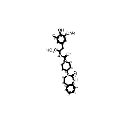 COc1cc(CC(OC(=O)N2CCC(N3CCc4ccccc4NC3=O)CC2)C(=O)O)cc(C)c1O